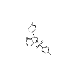 Cc1ccc(S(=O)(=O)n2cc(C3=CCNCC3)c3ncccc32)cc1